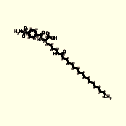 CCCCCCCCCCCCCCCCCC(=O)NCCCC[C@H](NC(=O)c1ccc(S(N)(=O)=O)cc1)C(=O)O